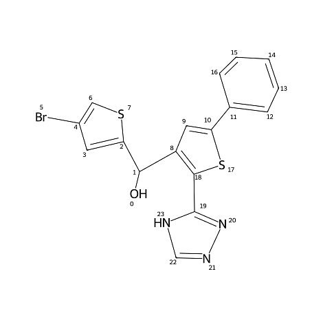 OC(c1cc(Br)cs1)c1cc(-c2ccccc2)sc1-c1nnc[nH]1